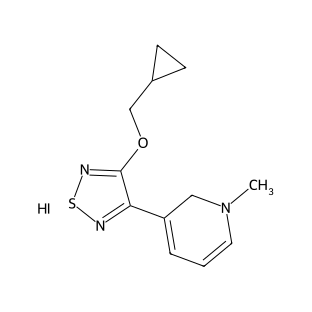 CN1C=CC=C(c2nsnc2OCC2CC2)C1.I